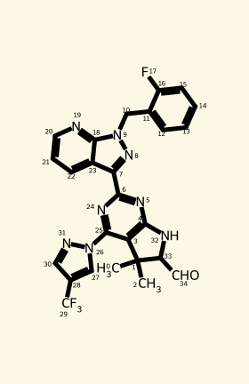 CC1(C)c2c(nc(-c3nn(Cc4ccccc4F)c4ncccc34)nc2-n2cc(C(F)(F)F)cn2)NC1C=O